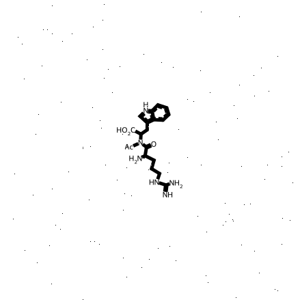 CC(=O)N(C(=O)C(N)CCCNC(=N)N)C(Cc1c[nH]c2ccccc12)C(=O)O